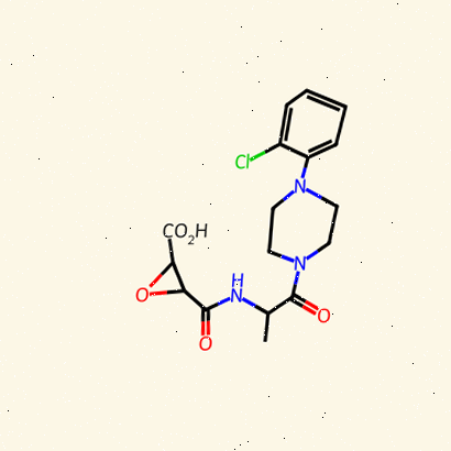 CC(NC(=O)C1OC1C(=O)O)C(=O)N1CCN(c2ccccc2Cl)CC1